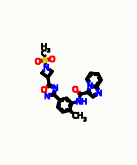 Cc1ccc(-c2noc(C3CN(S(C)(=O)=O)C3)n2)cc1NC(=O)c1cnc2ccccn12